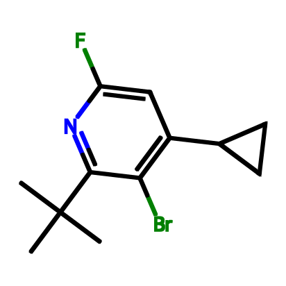 CC(C)(C)c1nc(F)cc(C2CC2)c1Br